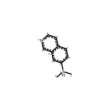 C[SH](C)c1ccc2ccncc2c1